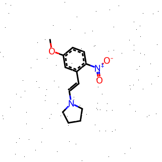 COc1ccc([N+](=O)[O-])c(/C=C/N2CCCC2)c1